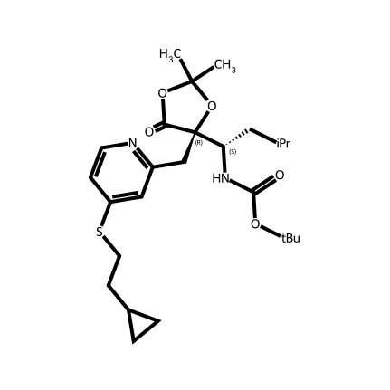 CC(C)C[C@H](NC(=O)OC(C)(C)C)[C@@]1(Cc2cc(SCCC3CC3)ccn2)OC(C)(C)OC1=O